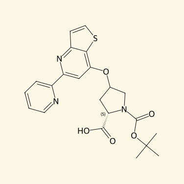 CC(C)(C)OC(=O)N1CC(Oc2cc(-c3ccccn3)nc3ccsc23)C[C@H]1C(=O)O